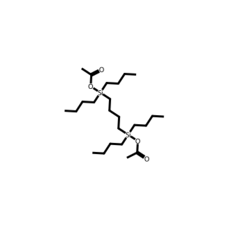 CCCC[Si](CCCC)(CCCC[Si](CCCC)(CCCC)OC(C)=O)OC(C)=O